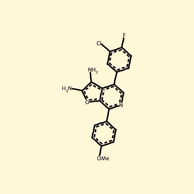 COc1ccc(-c2ncc(-c3ccc(F)c(Cl)c3)c3c(N)c(N)oc23)cc1